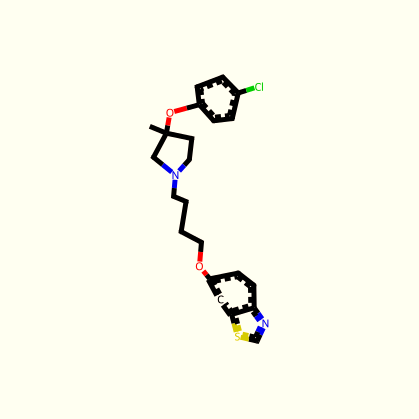 CC1(Oc2ccc(Cl)cc2)CCN(CCCCOc2ccc3ncsc3c2)C1